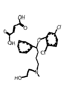 CN(CCO)CCCC(Oc1cc(Cl)ccc1Cl)c1ccccc1.O=C(O)C=CC(=O)O